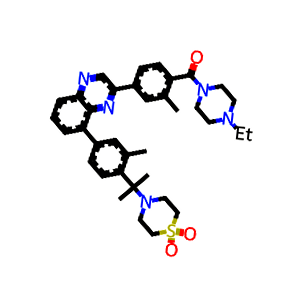 CCN1CCN(C(=O)c2ccc(-c3cnc4cccc(-c5ccc(C(C)(C)N6CCS(=O)(=O)CC6)c(C)c5)c4n3)cc2C)CC1